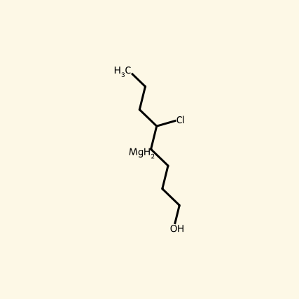 CCCC(Cl)CCCCO.[MgH2]